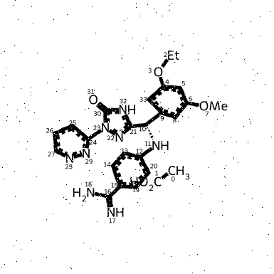 CC(=O)O.CCOc1cc(OC)cc([C@H](Nc2ccc(C(=N)N)cc2)c2nn(-c3cccnn3)c(=O)[nH]2)c1